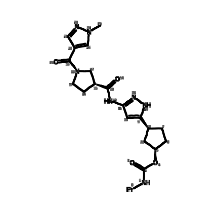 CC(C)NC(=O)O[C@@H]1CC[C@H](c2cc(NC(=O)[C@H]3CCN(C(=O)c4cnn(C)c4)C3)n[nH]2)C1